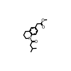 COC(=O)Cc1ccc2c(c1)CCCN2C(=O)CC(C)C